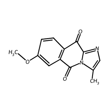 COc1ccc2c(c1)C(=O)n1c(C)cnc1C2=O